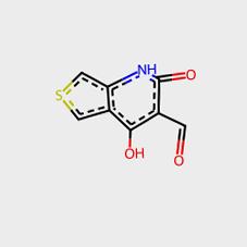 O=Cc1c(O)c2cscc2[nH]c1=O